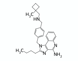 CCCCc1nc2c(N)nc3ccccc3c2n1Cc1ccc(CNCC2(C)CCC2)cc1